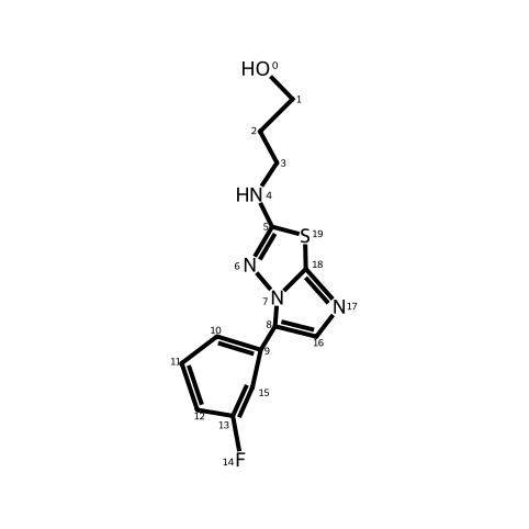 OCCCNc1nn2c(-c3cccc(F)c3)cnc2s1